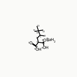 CC(CC(C(=O)O)C(=O)O)C(C)(C)C.[BaH2]